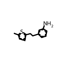 Cc1ccc(CCc2cccc(N)c2)s1